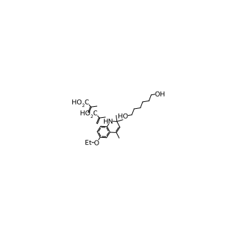 C=C(C)C(=O)O.C=C(C)C(=O)O.CCOc1ccc2c(c1)C(C)=CC(C)(C)N2.OCCCCCCO